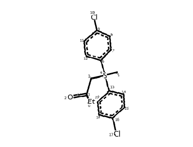 CCC(=O)CS(C)(c1ccc(Cl)cc1)c1ccc(Cl)cc1